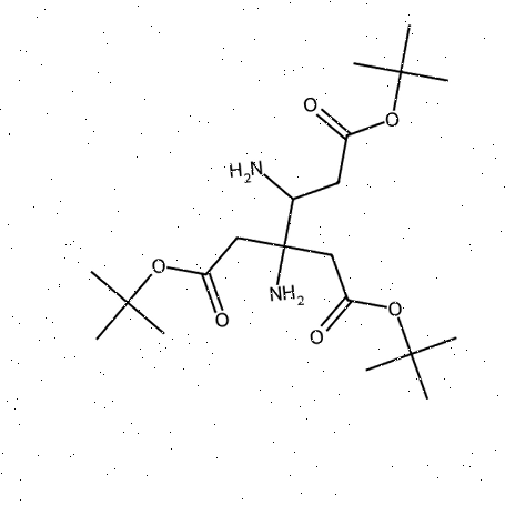 CC(C)(C)OC(=O)CC(N)C(N)(CC(=O)OC(C)(C)C)CC(=O)OC(C)(C)C